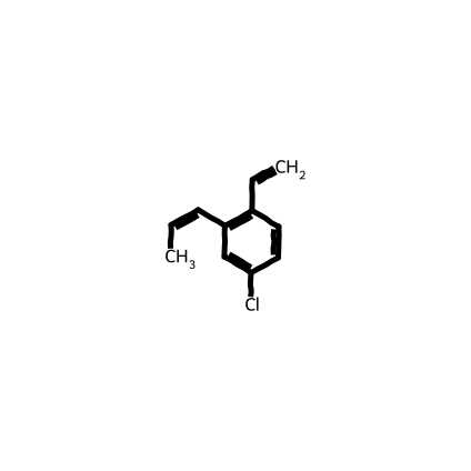 C=Cc1ccc(Cl)cc1/C=C\C